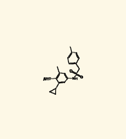 Cc1ccc(CS(=O)(=O)Nc2cc(C)c(C#N)c(C3CC3)c2)cc1